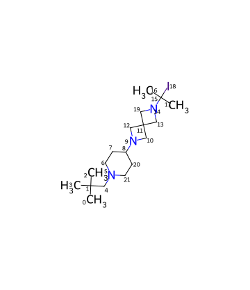 CC(C)(C)CN1CCC(N2CC3(C2)CN(C(C)(C)I)C3)CC1